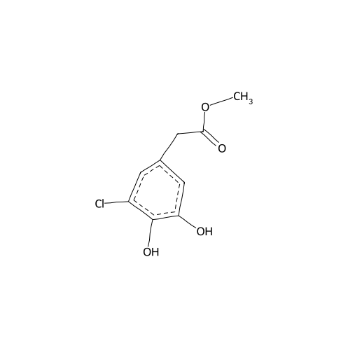 COC(=O)Cc1cc(O)c(O)c(Cl)c1